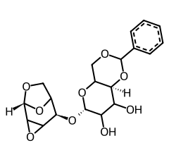 OC1C(O)[C@@H]2OC(c3ccccc3)OCC2O[C@H]1O[C@@H]1C2CO[C@H](O2)C2OC21